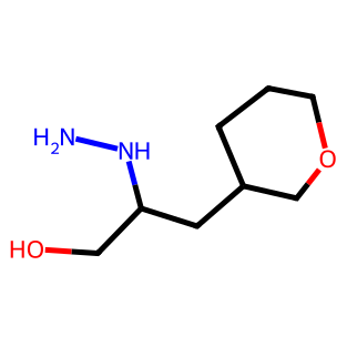 NNC(CO)CC1CCCOC1